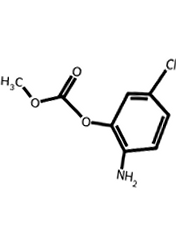 COC(=O)Oc1cc(Cl)ccc1N